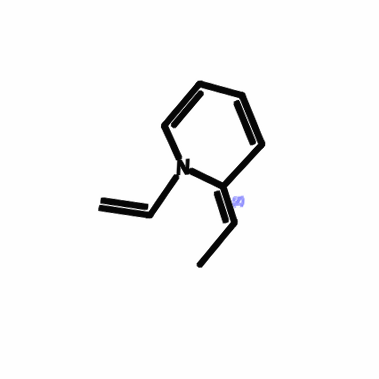 C=CN1C=CC=C/C1=C/C